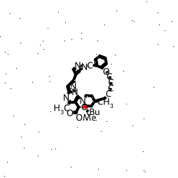 COC(=O)[C@@H](OC(C)(C)C)c1c(C)nc2cc3nn2c1N1CCC(C)(CCCCCOc2ccccc2Cn2cc-3cn2)CC1